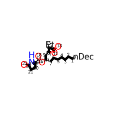 CCCCCCCCCCCCCCCCC[C@@H](C[C@@H]1OC(=O)[C@H]1CC)OC(=O)[C@@H]1CCC(=O)N1